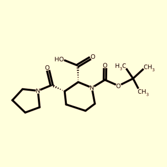 CC(C)(C)OC(=O)N1CCC[C@H](C(=O)N2CCCC2)[C@@H]1C(=O)O